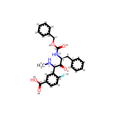 CNC(C(=O)[C@H](Cc1ccccc1)NC(=O)OCc1ccccc1)c1cc(C(=O)O)ccc1F